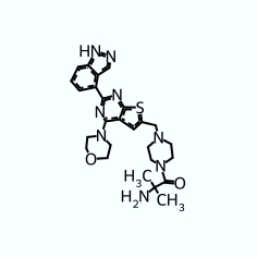 CC(C)(N)C(=O)N1CCN(Cc2cc3c(N4CCOCC4)nc(-c4cccc5[nH]ncc45)nc3s2)CC1